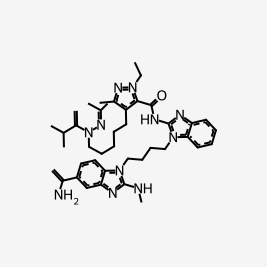 C=C(N)c1ccc2c(c1)nc(NC)n2CCCCn1c(NC(=O)c2c(CCCCCN(N=C(C)C)C(=C)C(C)C)c(C)nn2CC)nc2ccccc21